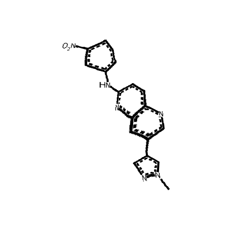 Cn1cc(-c2cnc3ccc(Nc4cccc([N+](=O)[O-])c4)nc3c2)cn1